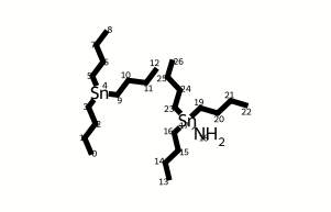 CCC[CH2][Sn]([CH2]CCC)[CH2]CCC.CCC[CH2][Sn]([NH2])([CH2]CCC)[CH2]CCC